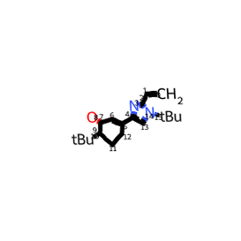 C=Cc1nc(C2=CC(=O)C(C(C)(C)C)CC2)cn1C(C)(C)C